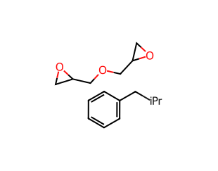 C(OCC1CO1)C1CO1.CC(C)Cc1ccccc1